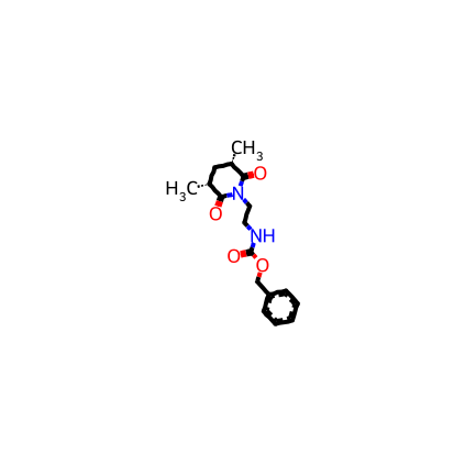 C[C@@H]1C[C@H](C)C(=O)N(CCNC(=O)OCc2ccccc2)C1=O